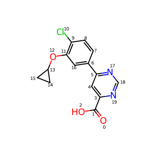 O=C(O)c1cc(-c2ccc(Cl)c(OC3CC3)c2)ncn1